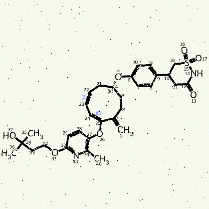 C=C1CC[C@@H](Oc2ccc(C3CC(=O)NS(=O)(=O)C3)cc2)C/C=C\C=C/1Oc1ccc(OCCC(C)(C)O)nc1C